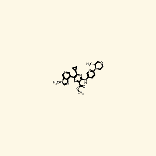 COC(=O)c1nc(-c2cncc3c2ncn3C)c(C2CC2)nc1Nc1ccc(N2CCOC[C@H]2C)nc1